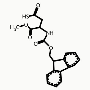 COC(=O)C(CC(=O)S)NC(=O)OCC1c2ccccc2-c2ccccc21